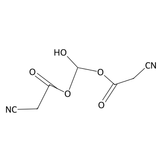 N#CCC(=O)OC(O)OC(=O)CC#N